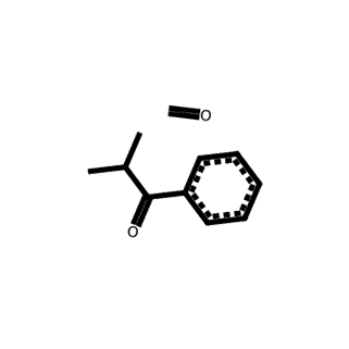 C=O.CC(C)C(=O)c1ccccc1